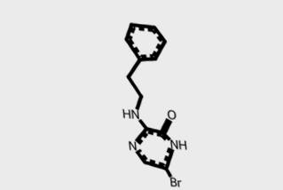 O=c1[nH]c(Br)cnc1NCCc1ccccc1